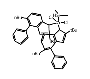 CCCCc1ccc2c(c1-c1ccccc1)C=C(C(C)(C)C)[CH]2[Zr]([Cl])([Cl])([CH]1C(C(C)(C)C)=Cc2c1ccc(CCCC)c2-c1ccccc1)[SiH](C)C